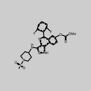 COC(=O)Oc1ccc2c(c1)c(-c1c(F)cccc1F)nc1c(NC3CCN(S(C)(=O)=O)CC3)n[nH]c12